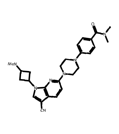 CNC1CC(n2cc(C#N)c3ccc(N4CCN(c5ccc(C(=O)N(C)C)cc5)CC4)nc32)C1